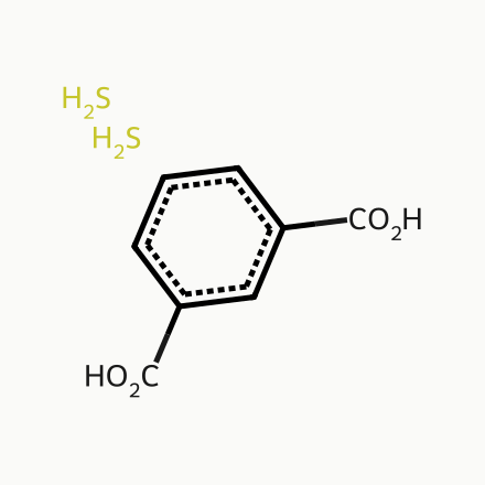 O=C(O)c1cccc(C(=O)O)c1.S.S